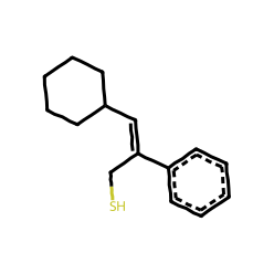 SCC(=CC1CCCCC1)c1ccccc1